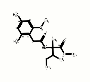 CCC(C)C(C)(NC(=O)Cc1c(C)cc(C)cc1OC)C(=O)OC